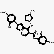 CCc1cc(O)ccc1/N=C(\N)c1cnn2cc(-c3ccc(OC)cc3CC)cc2c1N[C@@H]1CC[C@H](N)C1